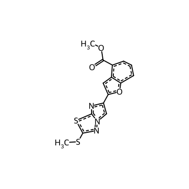 COC(=O)c1cccc2oc(-c3cn4nc(SC)sc4n3)cc12